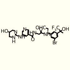 CC(O)(c1cc(Br)cc([C@H](CC=O)NC(=O)CNC(=O)c2cncc(NC3=NCC(O)CN3)c2)c1)C(F)(F)F